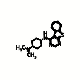 CN(C)[C@H]1CC[C@H](Nc2ncnc3sc4ccccc4c23)CC1